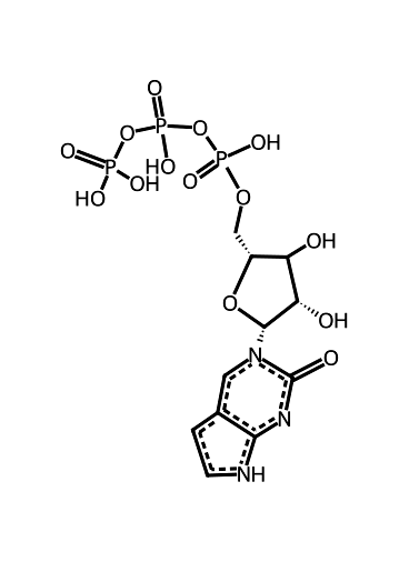 O=c1nc2[nH]ccc2cn1[C@@H]1O[C@H](COP(=O)(O)OP(=O)(O)OP(=O)(O)O)C(O)[C@@H]1O